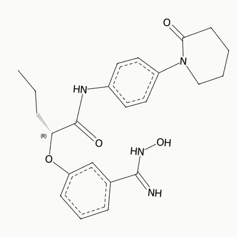 CCC[C@@H](Oc1cccc(C(=N)NO)c1)C(=O)Nc1ccc(N2CCCCC2=O)cc1